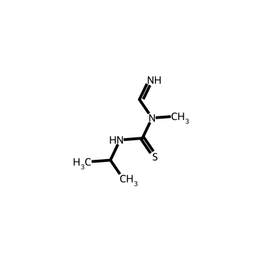 CC(C)NC(=S)N(C)C=N